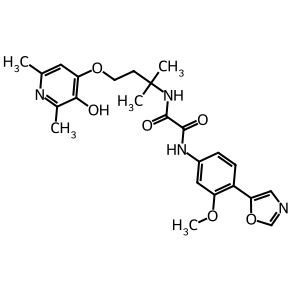 COc1cc(NC(=O)C(=O)NC(C)(C)CCOc2cc(C)nc(C)c2O)ccc1-c1cnco1